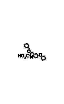 O=C(O)c1nc2ccc(Oc3ccccc3)cc2cc1OCc1ccccc1